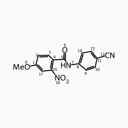 COc1ccc(C(=O)Nc2ccc(C#N)cc2)c([N+](=O)[O-])c1